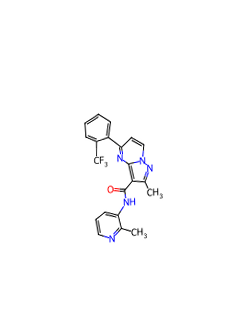 Cc1ncccc1NC(=O)c1c(C)nn2ccc(-c3ccccc3C(F)(F)F)nc12